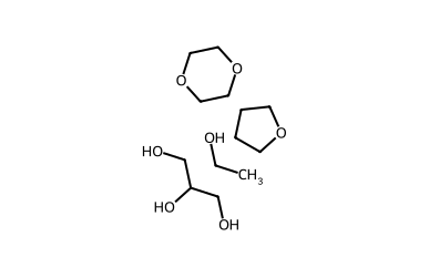 C1CCOC1.C1COCCO1.CCO.OCC(O)CO